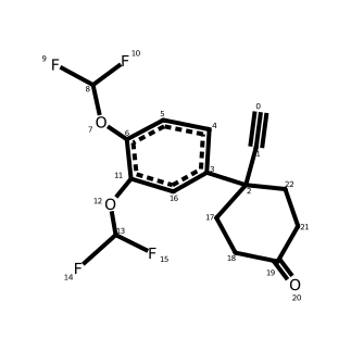 C#CC1(c2ccc(OC(F)F)c(OC(F)F)c2)CCC(=O)CC1